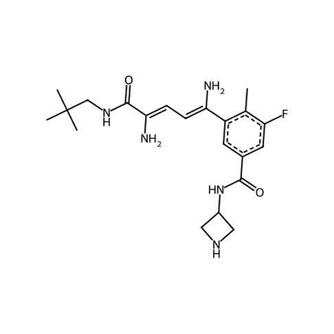 Cc1c(F)cc(C(=O)NC2CNC2)cc1/C(N)=C/C=C(\N)C(=O)NCC(C)(C)C